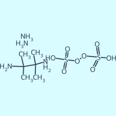 CC(C)(N)C(C)(C)N.N.N.O=S(=O)(O)OOS(=O)(=O)O